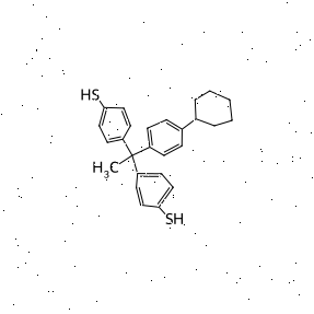 CC(c1ccc(S)cc1)(c1ccc(S)cc1)c1ccc(C2CCCCC2)cc1